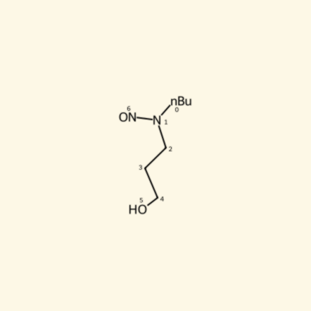 CCCCN(CCCO)N=O